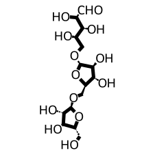 O=C[C@@H](O)[C@H](O)[C@H](O)CO[C@H]1O[C@H](CO[C@H]2O[C@H](CO)[C@@H](O)[C@@H]2O)[C@@H](O)[C@@H]1O